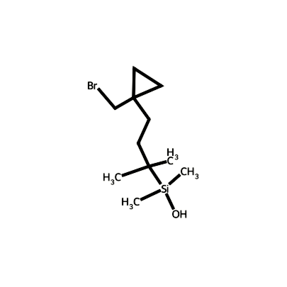 CC(C)(CCC1(CBr)CC1)[Si](C)(C)O